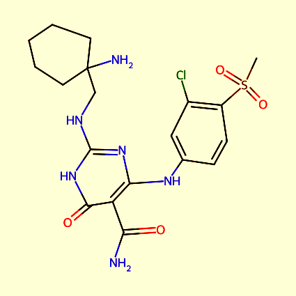 CS(=O)(=O)c1ccc(Nc2nc(NCC3(N)CCCCC3)[nH]c(=O)c2C(N)=O)cc1Cl